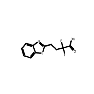 O=C(O)C(F)(F)CCc1nc2ccccc2s1